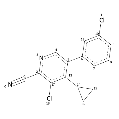 N#Cc1ncc(-c2cccc(Cl)c2)c(C2CC2)c1Cl